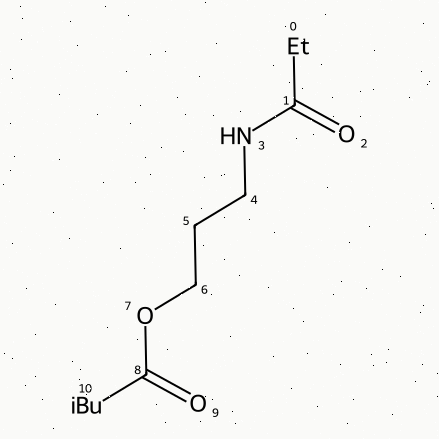 CCC(=O)NCCCOC(=O)C(C)CC